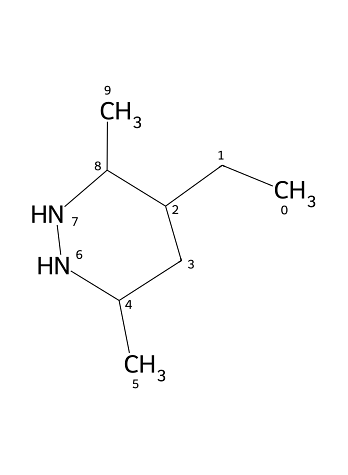 CCC1CC(C)NNC1C